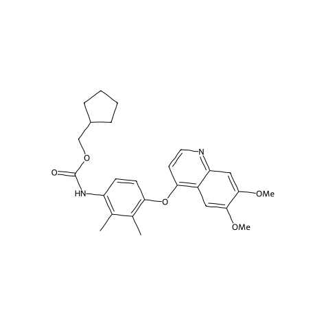 COc1cc2nccc(Oc3ccc(NC(=O)OCC4CCCC4)c(C)c3C)c2cc1OC